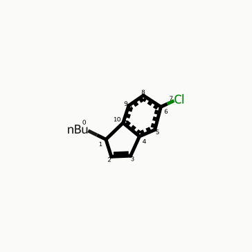 CCCCC1C=Cc2cc(Cl)ccc21